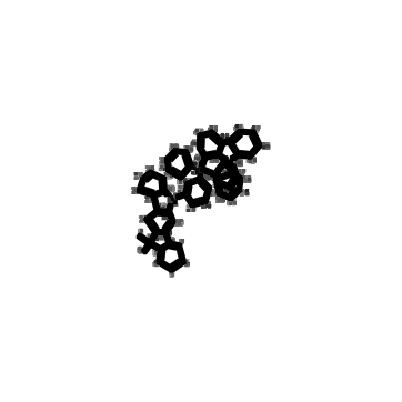 CC1(C)c2ccccc2-c2cc3c(cc21)c1ccccc1n3-c1cccc([Si](c2ccccc2)(c2ccccc2)c2cccc3c4ccccc4n(-c4ccccc4)c23)c1